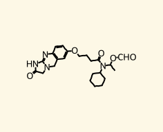 CC(OC=O)N(C(=O)CCCOc1ccc2c(c1)CN1CC(=O)NC1=N2)C1CCCCC1